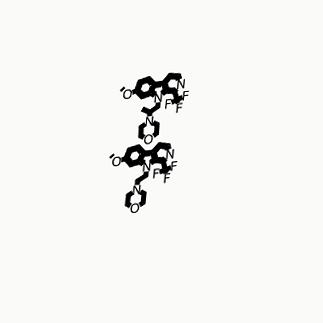 COc1ccc2c3ccnc(C(F)(F)F)c3n(CC(C)N3CCOCC3)c2c1.COc1ccc2c3ccnc(C(F)(F)F)c3n(CCN3CCOCC3)c2c1